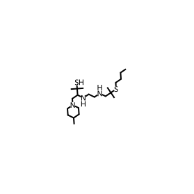 CCCCSC(C)(C)CNCCNC(CN1CCC(C)CC1)C(C)(C)S